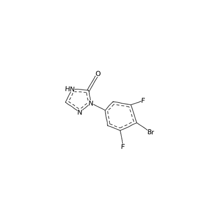 O=c1[nH]cnn1-c1cc(F)c(Br)c(F)c1